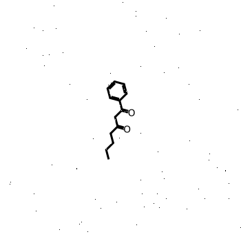 CCCCC(=O)CC(=O)c1ccccc1